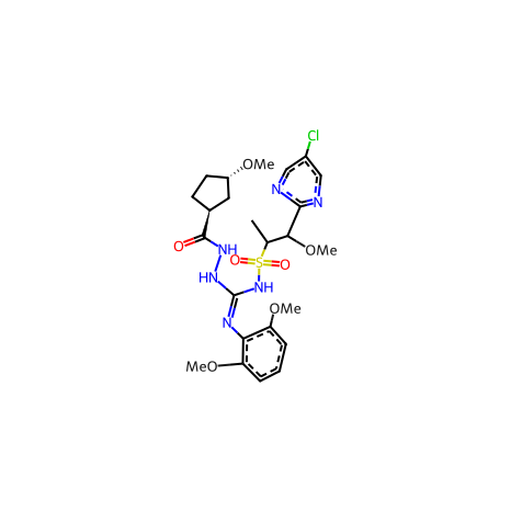 COc1cccc(OC)c1/N=C(/NNC(=O)[C@H]1CC[C@H](OC)C1)NS(=O)(=O)C(C)C(OC)c1ncc(Cl)cn1